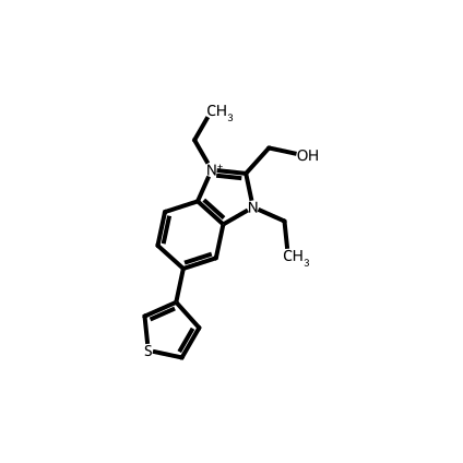 CCn1c(CO)[n+](CC)c2ccc(-c3ccsc3)cc21